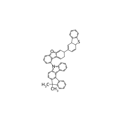 CC1(C)c2ccccc2-c2c1ccc1c2c2ccccc2n1-c1cccc2oc3c(c12)=CCC(C1=CC2c4ccccc4SC2C=C1)C=3